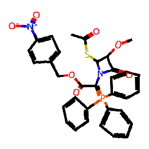 COC1C(=O)N(C(C(=O)OCc2ccc([N+](=O)[O-])cc2)=P(c2ccccc2)(c2ccccc2)c2ccccc2)C1SC(C)=O